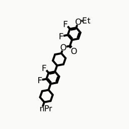 CCCC1CCC(c2ccc(C3CCC(OC(=O)c4ccc(OCC)c(F)c4F)CC3)c(F)c2F)CC1